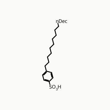 CCCCCCCCCCCCCCCCCCCCc1ccc(S(=O)(=O)O)cc1